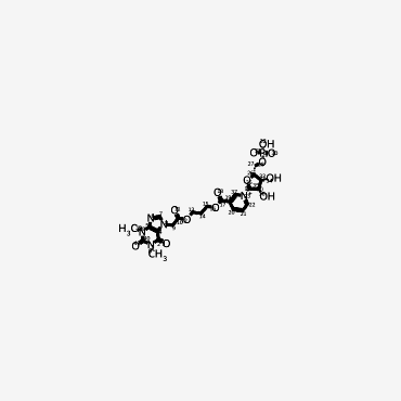 Cn1c(=O)c2c(ncn2CC(=O)OCCCOC(=O)c2ccc[n+]([C@@H]3O[C@H](COP(=O)([O-])O)[C@@H](O)[C@H]3O)c2)n(C)c1=O